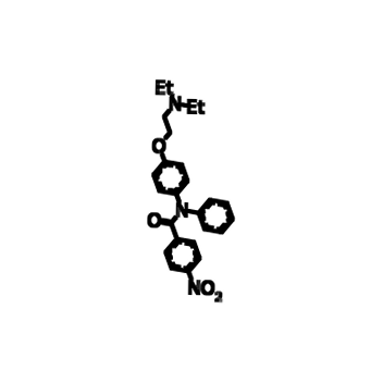 CCN(CC)CCOc1ccc(N(C(=O)c2ccc([N+](=O)[O-])cc2)c2ccccc2)cc1